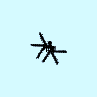 CCCCCCCCCCCCSc1cc(Nc2nc(Nc3cc(SCCCCCCCCCCCC)c(SCCCCCCCCCCCC)c(SCCCCCCCCCCCC)c3)nc(-c3cc[c]cc3)n2)cc(SCCCCCCCCCCCC)c1SCCCCCCCCCCCC